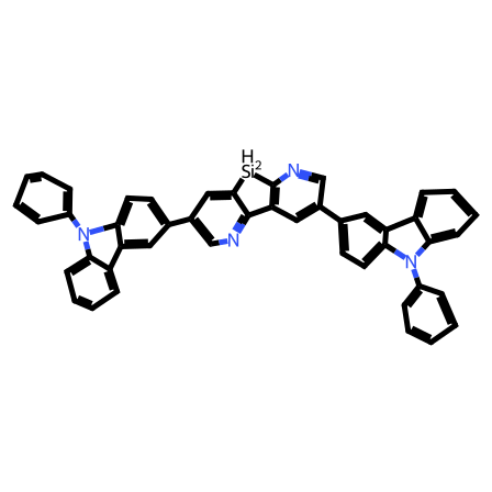 c1ccc(-n2c3ccccc3c3cc(-c4cnc5c(c4)[SiH2]c4ncc(-c6ccc7c(c6)c6ccccc6n7-c6ccccc6)cc4-5)ccc32)cc1